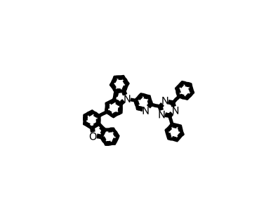 c1ccc(-c2nc(-c3ccccc3)nc(-c3ccc(-n4c5ccccc5c5cc(-c6cccc7oc8ccccc8c67)ccc54)cn3)n2)cc1